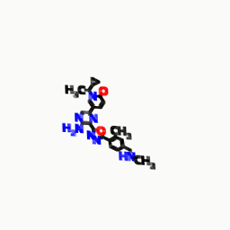 CNCc1ccc(-c2nnc(-c3nc(-c4ccc(=O)n(C(C)C5CC5)c4)cnc3N)o2)c(C)c1